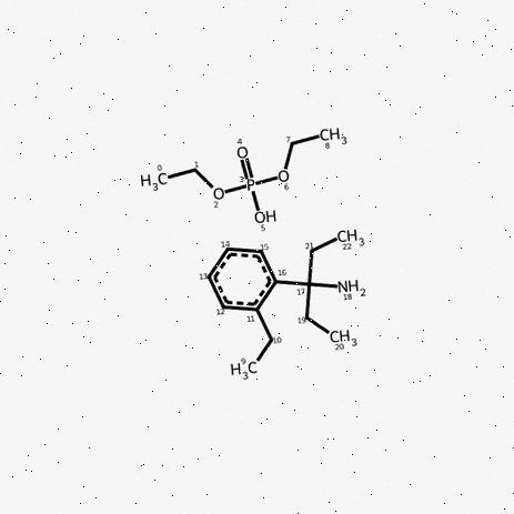 CCOP(=O)(O)OCC.CCc1ccccc1C(N)(CC)CC